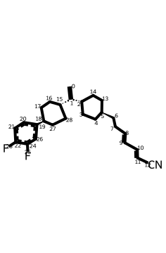 C=C([C@H]1CC[C@H](CC/C=C/C=C/C#N)CC1)[C@H]1CC[C@H](c2ccc(F)c(F)c2)CC1